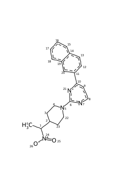 CC(C1CCN(c2nccc(-c3ccc4ccccc4c3)n2)CC1)[N+](=O)[O-]